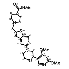 CNC(=O)C1CCN(Cc2cc3nc(N4CCOC(c5cnc(OC)nc5OC)C4)ncc3s2)CC1